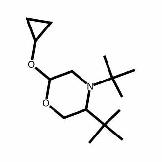 CC(C)(C)C1COC(OC2CC2)CN1C(C)(C)C